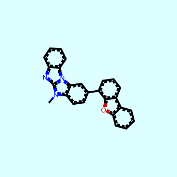 Cn1c2ccc(-c3cccc4c3oc3ccccc34)cc2n2c3ccccc3nc12